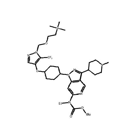 CCN(C(=O)OC(C)(C)C)c1cc2c(cn1)c(C1CCN(C)CC1)nn2C1CCC(Oc2cnn(COCC[Si](C)(C)C)c2C(F)(F)F)CC1